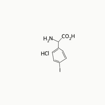 Cl.NC(C(=O)O)c1ccc(I)cc1